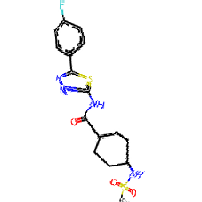 CC(C)(C)S(=O)(=O)NC1CCC(C(=O)Nc2nnc(-c3ccc(F)cc3)s2)CC1